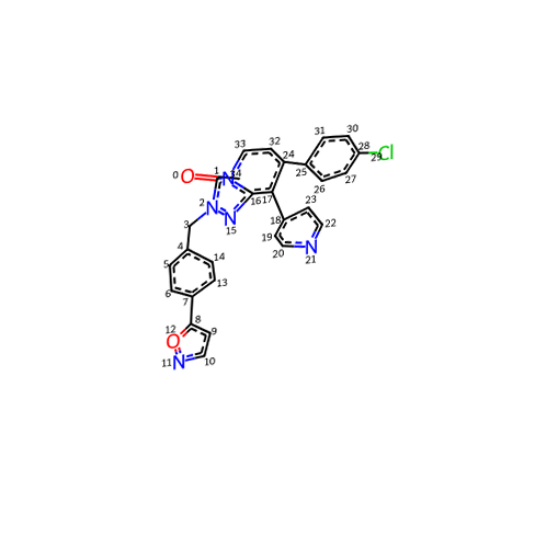 O=c1n(Cc2ccc(-c3ccno3)cc2)nc2c(-c3ccncc3)c(-c3ccc(Cl)cc3)ccn12